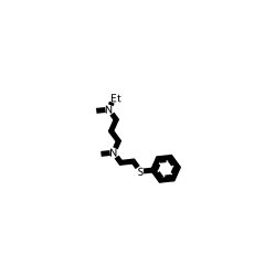 CCN(C)CCCN(C)CCSc1ccccc1